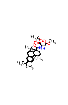 COC(=O)C[C@H](NC(=O)[C@]1(C)CCC[C@]2(C)c3ccc(C(C)C)cc3CC[C@@H]12)C(=O)OC